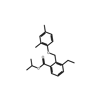 CCc1cccc(C(=O)OC(C)C)c1COc1ccc(C)cc1C